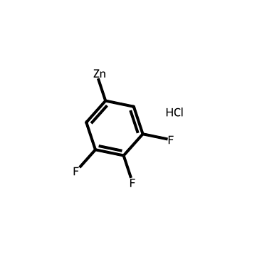 Cl.Fc1c[c]([Zn])cc(F)c1F